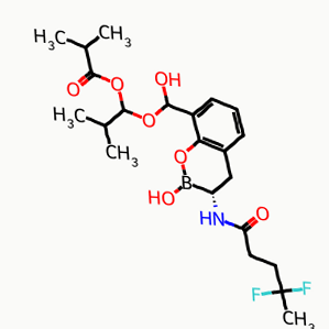 CC(C)C(=O)OC(OC(O)c1cccc2c1OB(O)[C@@H](NC(=O)CCC(C)(F)F)C2)C(C)C